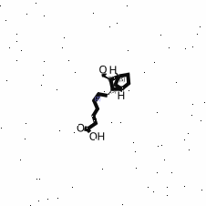 O=C[C@H]1[C@H]2CC[C@H](C2)[C@@H]1C/C=C\CCCC(=O)O